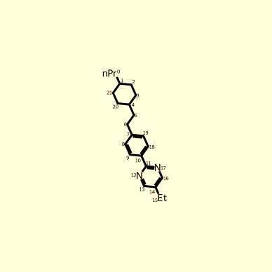 CCCC1CCC(CCc2ccc(-c3ncc(CC)cn3)cc2)CC1